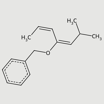 C/C=C\C(=C/C(C)C)OCc1ccccc1